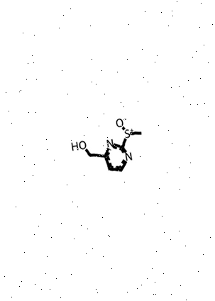 C[S+]([O-])c1nccc(CO)n1